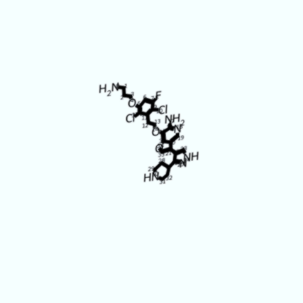 NCCCOc1cc(F)c(Cl)c(CCOc2c(N)ncc3c(-c4c[nH]nc4C4CCNCC4)coc23)c1Cl